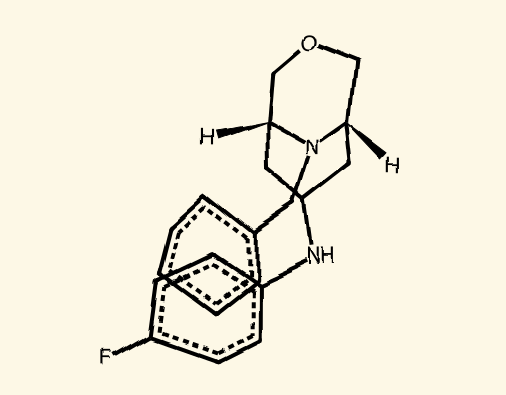 Fc1ccc(NC2C[C@H]3COC[C@@H](C2)N3Cc2ccccc2)cc1